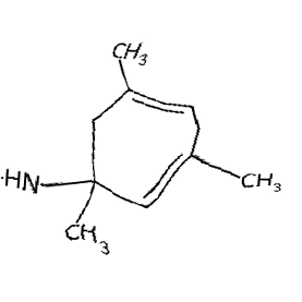 CC1=CC(C)([NH])CC(C)=C1